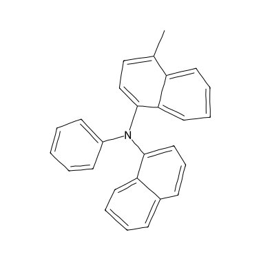 Cc1ccc(N(c2ccccc2)c2cccc3ccccc23)c2ccccc12